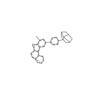 Cc1cc(-c2ccc(C34CC5CC(CC(C5)C3)C4)cc2)cc2c1oc1ccc3ccccc3c12